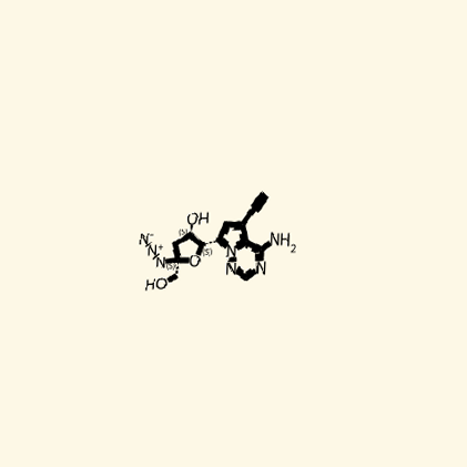 C#Cc1cc([C@@H]2O[C@@](CO)(N=[N+]=[N-])C[C@@H]2O)n2ncnc(N)c12